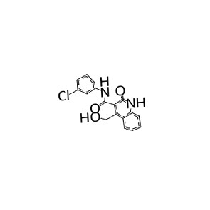 O=C(Nc1cccc(Cl)c1)c1c(CO)c2ccccc2[nH]c1=O